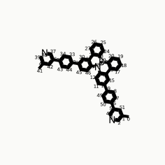 Cc1cncc(-c2ccc(-c3ccc4c(c3)-c3ccccc3B3c5ccccc5-c5cc(-c6ccc(-c7cncc(C)c7)cc6)ccc5N34)cc2)c1